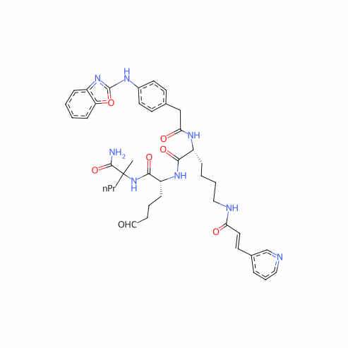 CCCC(C)(NC(=O)[C@@H](CCCC=O)NC(=O)[C@@H](CCCCNC(=O)/C=C/c1cccnc1)NC(=O)Cc1ccc(Nc2nc3ccccc3o2)cc1)C(N)=O